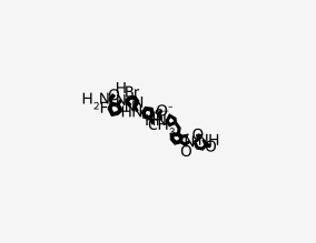 Cc1cc(Nc2ncc(Br)c(Nc3cccc(F)c3C(N)=O)n2)ccc1[S+]([O-])NC1CCC(Cc2cccc3c2CN(C2CCC(=O)NC2=O)C3=O)C1